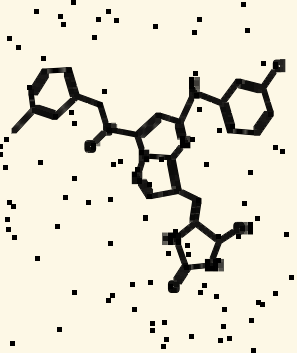 Cc1cccc(C[S+]([O-])c2cc(Nc3cccc(Cl)c3)nc3c(/C=C4\NC(=O)NC4O)cnn23)c1